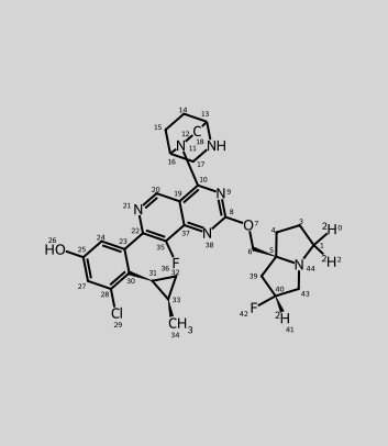 [2H]C1([2H])CC[C@@]2(COc3nc(N4CC5CCC4CN5)c4cnc(-c5cc(O)cc(Cl)c5[C@H]5C[C@H]5C)c(F)c4n3)C[C@@]([2H])(F)CN12